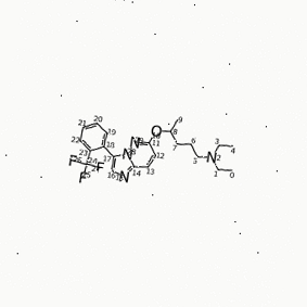 CCN(CC)CCCC(C)Oc1ccc2ncc(-c3ccccc3C(F)(F)F)n2n1